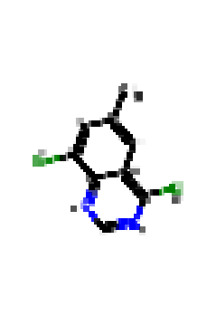 Cc1cc(Br)c2ncnc(Cl)c2c1